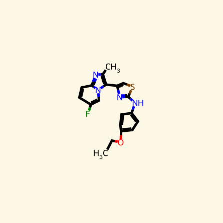 CCOc1ccc(Nc2nc(-c3c(C)nc4ccc(F)cn34)cs2)cc1